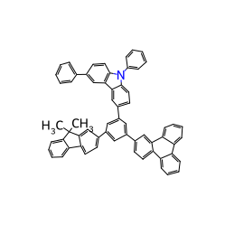 CC1(C)c2ccccc2-c2ccc(-c3cc(-c4ccc5c6ccccc6c6ccccc6c5c4)cc(-c4ccc5c(c4)c4cc(-c6ccccc6)ccc4n5-c4ccccc4)c3)cc21